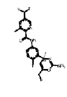 Cc1cc(C(F)F)cnc1C(=O)Nc1ccc(F)c([C@]2(C)C=C(CF)OC(N)=N2)c1